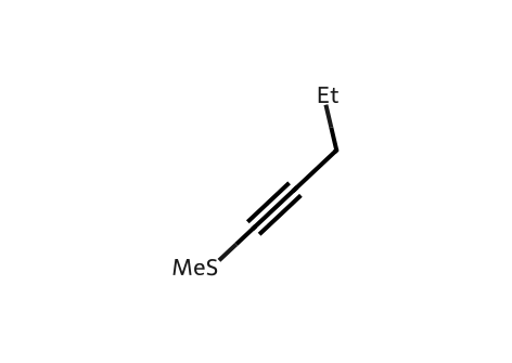 [CH2]CCC#CSC